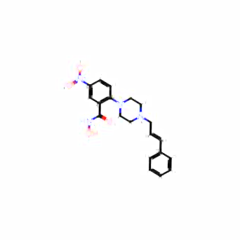 O=C(NO)c1cc([N+](=O)[O-])ccc1N1CCN(C/C=C/c2ccccc2)CC1